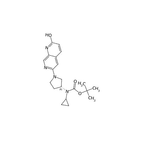 CC(C)(C)OC(=O)N(C1CC1)[C@@H]1CCN(c2cc3ccc(O)nc3cn2)C1